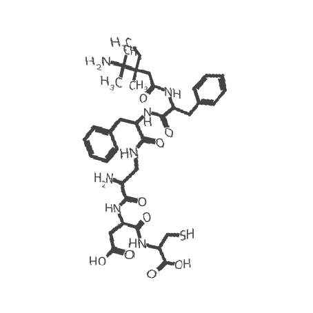 CCC(C)(CC(=O)NC(Cc1ccccc1)C(=O)NC(Cc1ccccc1)C(=O)NCC(N)C(=O)NC(CC(=O)O)C(=O)NC(CS)C(=O)O)C(C)(C)N